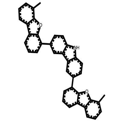 Cc1cccc2c1oc1c(-c3ccc4[nH]c5ccc(-c6cccc7c6oc6c(C)cccc67)cc5c4c3)cccc12